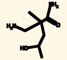 CC(O)CC(C)(CN)C(N)=O